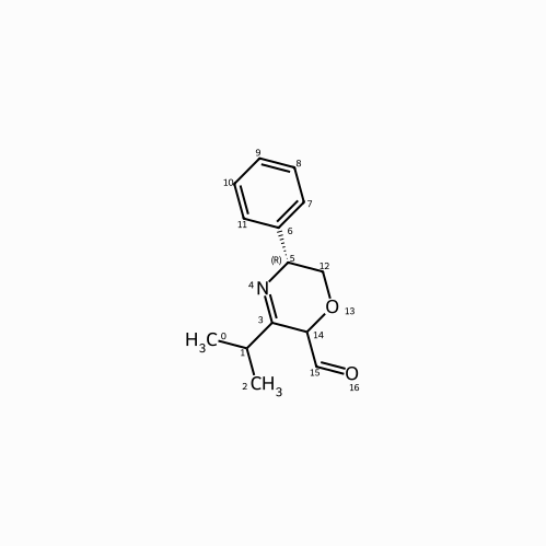 CC(C)C1=N[C@H](c2ccccc2)COC1C=O